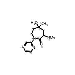 CNC1CC(C)(C)CCN(c2cnccn2)C1=O